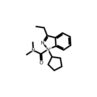 CCC1=N[N+](C(=O)N(C)C)(C2CCCC2)c2ccccc21